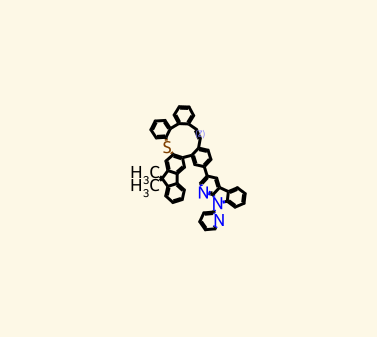 CC1(C)c2ccccc2-c2cc3c(cc21)Sc1ccccc1-c1ccccc1/C=C\c1ccc(-c2cnc4c(c2)c2ccccc2n4-c2ccccn2)cc1-3